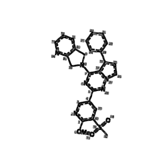 COc1ncc(-c2nc(N3Cc4cccnc4C3)c3c(-c4ccccc4)ccn3n2)cc1S(C)(=O)=O